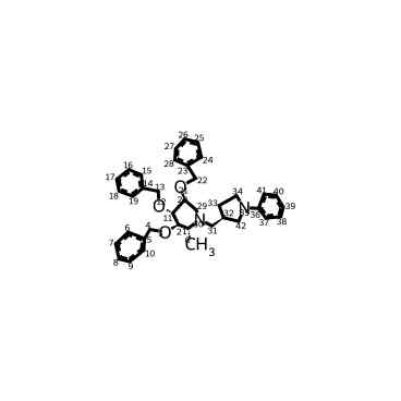 C[C@@H]1[C@@H](OCc2ccccc2)[C@H](OCc2ccccc2)[C@@H](OCc2ccccc2)CN1C[C@H]1CCN(c2ccccc2)C1